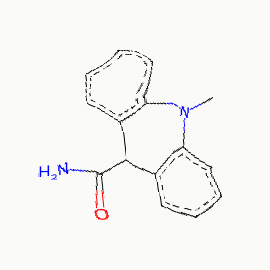 CN1c2ccccc2C(C(N)=O)c2ccccc21